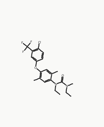 CCN(C)C(=O)N(CC)c1cc(C)c(Oc2ccc(Cl)c(C(F)(F)F)c2)cc1C